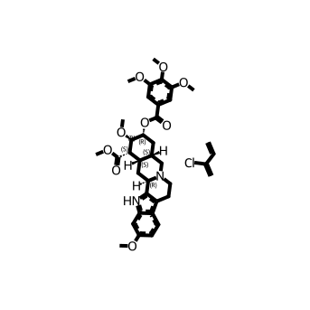 C=CC(=C)Cl.COC(=O)[C@H]1[C@H]2C[C@@H]3c4[nH]c5cc(OC)ccc5c4CCN3C[C@H]2C[C@@H](OC(=O)c2cc(OC)c(OC)c(OC)c2)[C@@H]1OC